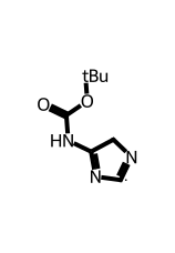 CC(C)(C)OC(=O)NC1=N[C]=NC1